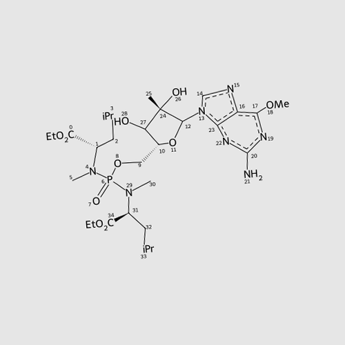 CCOC(=O)[C@H](CC(C)C)N(C)P(=O)(OC[C@H]1OC(n2cnc3c(OC)nc(N)nc32)[C@@](C)(O)C1O)N(C)[C@@H](CC(C)C)C(=O)OCC